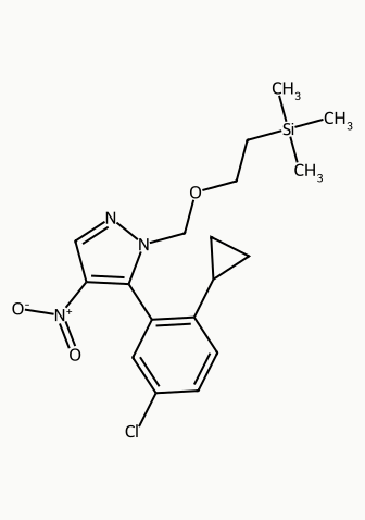 C[Si](C)(C)CCOCn1ncc([N+](=O)[O-])c1-c1cc(Cl)ccc1C1CC1